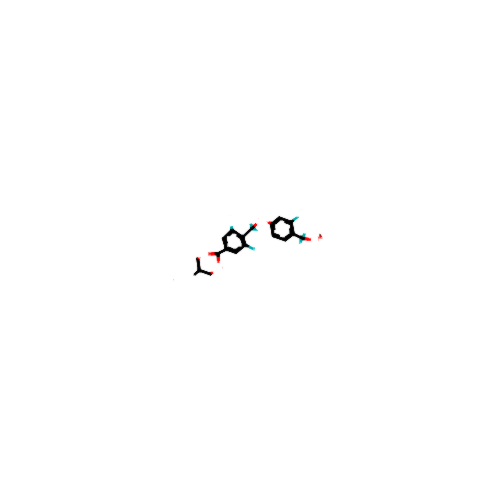 CCCCCC1COC(c2cc(F)c(C(F)(F)Oc3ccc(C(F)(F)OC(F)(F)F)c(F)c3)c(F)c2)OC1